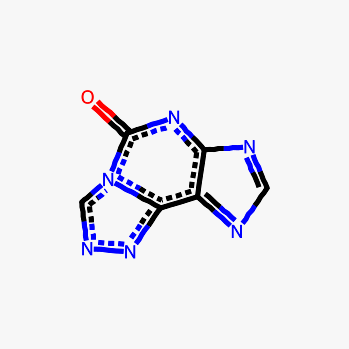 O=c1nc2c(c3nncn13)=NC=N2